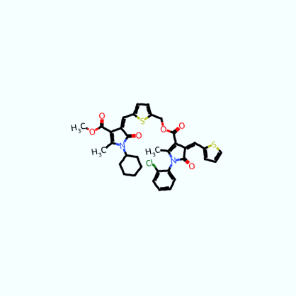 COC(=O)C1=C(C)N(C2CCCCC2)C(=O)/C1=C\c1ccc(COC(=O)C2=C(C)N(c3ccccc3Cl)C(=O)/C2=C\c2cccs2)s1